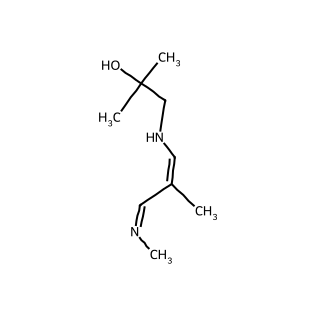 C/N=C\C(C)=C/NCC(C)(C)O